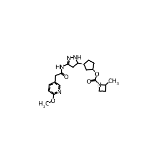 COc1ccc(CC(=O)NC2=NNC([C@H]3CC[C@@H](OC(=O)N4CCC4C)C3)C2)cn1